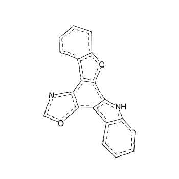 c1ccc2c(c1)[nH]c1c3oc4ccccc4c3c3ncoc3c21